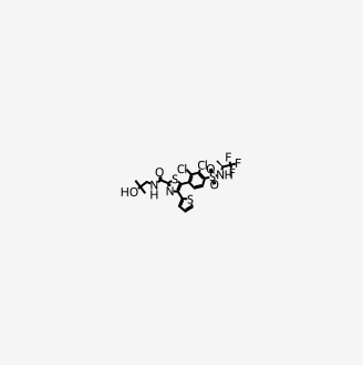 C[C@H](NS(=O)(=O)c1ccc(-c2sc(C(=O)NCC(C)(C)O)nc2-c2cccs2)c(Cl)c1Cl)C(F)(F)F